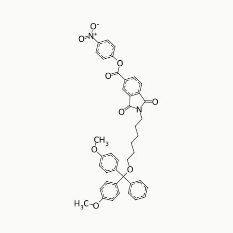 COc1ccc(C(OCCCCCCN2C(=O)c3ccc(C(=O)Oc4ccc([N+](=O)[O-])cc4)cc3C2=O)(c2ccccc2)c2ccc(OC)cc2)cc1